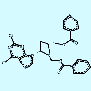 O=C(OC[C@H]1C[C@@H](n2cnc3c(Cl)nc(Cl)nc32)[C@@H]1COC(=O)c1ccccc1)c1ccccc1